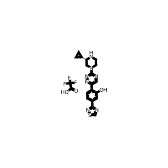 O=C(O)C(F)(F)F.Oc1cc(-c2ncsn2)ccc1-c1cnc(N2CCN[C@@H](C3CC3)C2)nn1